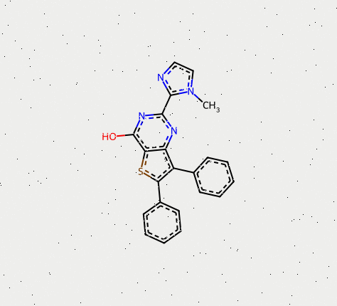 Cn1ccnc1-c1nc(O)c2sc(-c3ccccc3)c(-c3ccccc3)c2n1